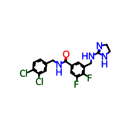 O=C(NCc1ccc(Cl)c(Cl)c1)c1cc(F)c(F)c(CNC2=NCCN2)c1